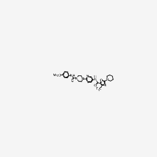 COc1ccc(NC(=O)N2CCN(c3ccc(NC(=O)c4oc(N5CCCCC5)nc4C(F)(F)F)cn3)CC2)cc1